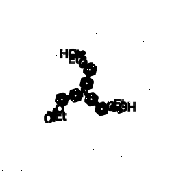 CCC(C)(O)COc1cccc(-c2ccc(N(c3ccc(-c4cccc(OCC(C)(CC)CO)c4)cc3)c3ccc(-c4cccc(OCC5(CC)COC5)c4)cc3)cc2)c1